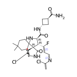 C=C(Cl)/N=C\C=C(/F)[C@H]1[C@H](C(=O)N[C@H]2C[C@H](C(N)=O)C2)NC2(CCC(C)(C)CC2)[C@@]12C(=O)Nc1cc(Cl)ccc12